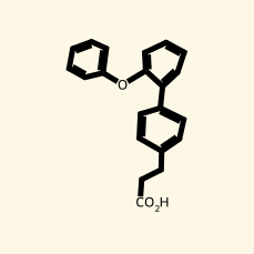 O=C(O)CCc1ccc(-c2ccccc2Oc2ccccc2)cc1